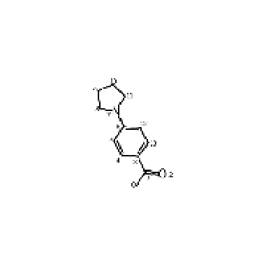 CC(=O)c1ccc(N2CCCC2)cc1